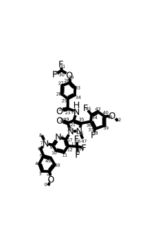 COc1ccc(CN(C)c2ccc(C(F)(F)F)c(-n3c(=O)c(NC(=O)c4ccc(OC(F)F)cc4)c(-c4c(F)cc(OC)cc4F)n3C)n2)cc1